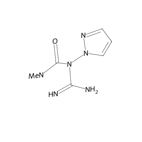 CNC(=O)N(C(=N)N)n1cccn1